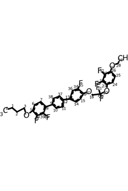 CCCCOc1ccc(-c2ccc(-c3ccc(OCC(F)(F)Oc4ccc(OCC)c(F)c4F)c(F)c3)cc2)c(F)c1F